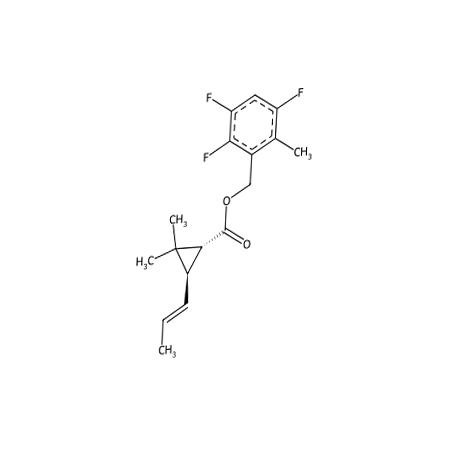 CC=C[C@@H]1[C@@H](C(=O)OCc2c(C)c(F)cc(F)c2F)C1(C)C